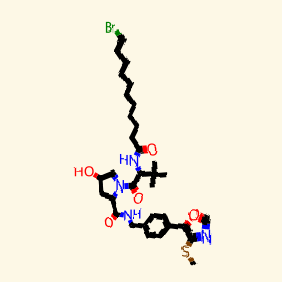 CSc1ncoc1-c1ccc(CNC(=O)C2CC(O)CN2C(=O)C(NC(=O)CCCCCCCCCCBr)C(C)(C)C)cc1